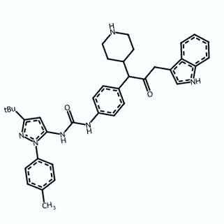 Cc1ccc(-n2nc(C(C)(C)C)cc2NC(=O)Nc2ccc(C(C(=O)Cc3c[nH]c4ccccc34)C3CCNCC3)cc2)cc1